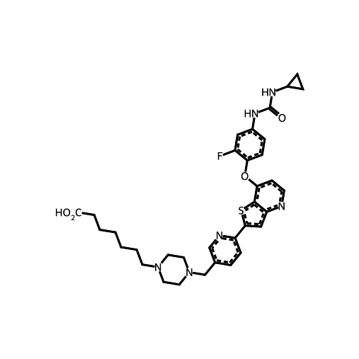 O=C(O)CCCCCCN1CCN(Cc2ccc(-c3cc4nccc(Oc5ccc(NC(=O)NC6CC6)cc5F)c4s3)nc2)CC1